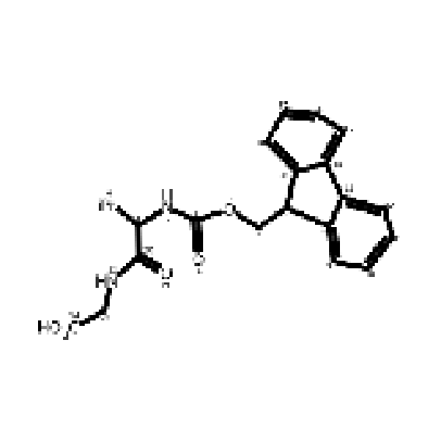 CC(C)C(NC(=O)OCC1c2ccccc2-c2ccccc21)C(=O)NCC(=O)O